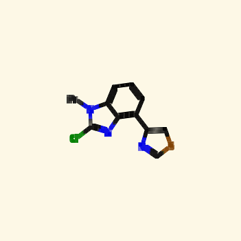 CC(C)n1c(Cl)nc2c(-c3cscn3)cccc21